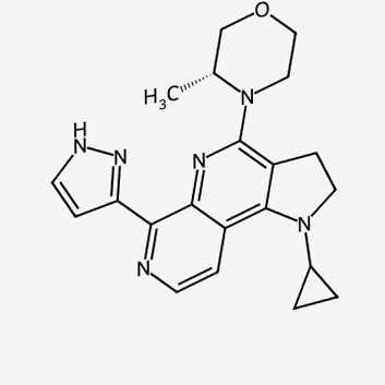 C[C@@H]1COCCN1c1nc2c(-c3cc[nH]n3)nccc2c2c1CCN2C1CC1